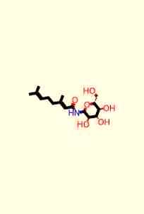 CC(C)=CCC/C(C)=C/C(=O)NC1O[C@H](CO)[C@@H](O)[C@H](O)[C@H]1O